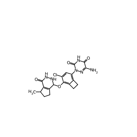 CC1CCC2=C1C(=O)NNC2Oc1c(Cl)cc(-n2nc(N)c(=O)[nH]c2=O)c2c1CC2